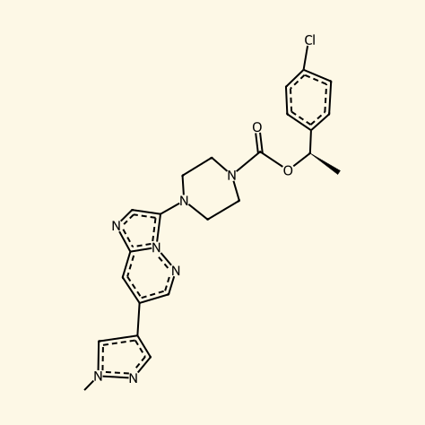 C[C@@H](OC(=O)N1CCN(c2cnc3cc(-c4cnn(C)c4)cnn23)CC1)c1ccc(Cl)cc1